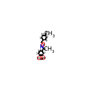 C/C(=N\OCc1ccc(C)cc1)c1ccc2c(c1)OCO2